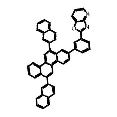 c1cc(-c2ccc3c(c2)c(-c2ccc4ccccc4c2)cc2c4ccccc4c(-c4ccc5ccccc5c4)cc32)cc(-c2nc3ncccc3o2)c1